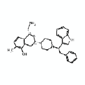 Cc1ccc2c(c1O)C[C@@H](C1CCN(C(Cc3ccccc3)c3c[nH]c4ccccc34)CC1)O[C@H]2CN